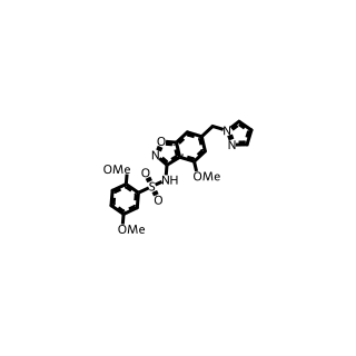 COc1ccc(OC)c(S(=O)(=O)Nc2noc3cc(Cn4cccn4)cc(OC)c23)c1